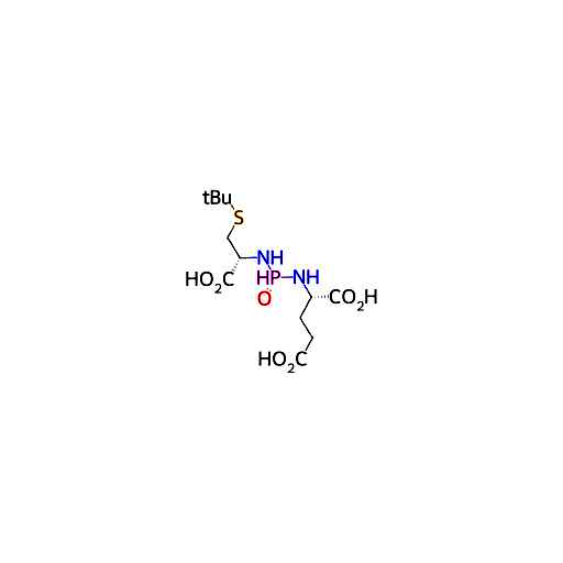 CC(C)(C)SC[C@H](N[PH](=O)N[C@@H](CCC(=O)O)C(=O)O)C(=O)O